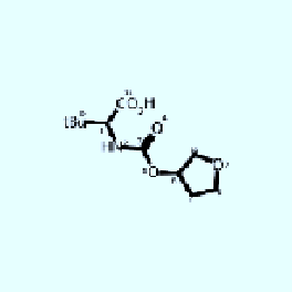 CC(C)(C)[C@H](NC(=O)O[C@@H]1CCOC1)C(=O)O